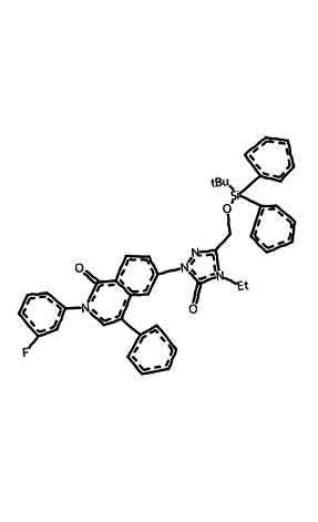 CCn1c(CO[Si](c2ccccc2)(c2ccccc2)C(C)(C)C)nn(-c2ccc3c(=O)n(-c4cccc(F)c4)cc(-c4ccccc4)c3c2)c1=O